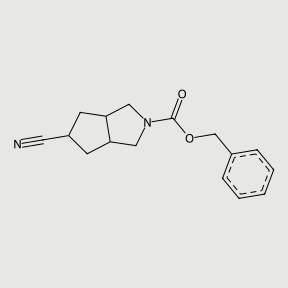 N#CC1CC2CN(C(=O)OCc3ccccc3)CC2C1